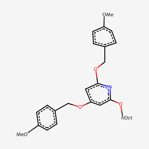 CCCCCCCCOc1cc(OCc2ccc(OC)cc2)cc(OCc2ccc(OC)cc2)n1